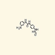 Nc1cccc(NC(=O)Nc2ccc(NNC=O)cc2)c1